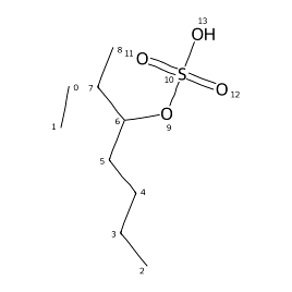 CC.CCCCC(CC)OS(=O)(=O)O